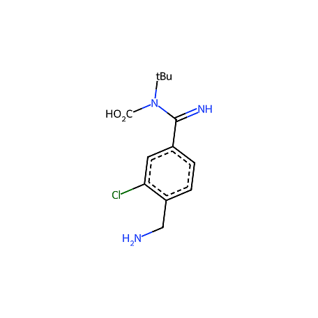 CC(C)(C)N(C(=N)c1ccc(CN)c(Cl)c1)C(=O)O